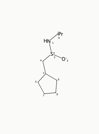 CC(C)N[S+]([O-])CC1CCCC1